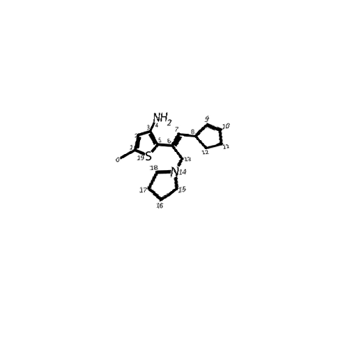 Cc1cc(N)c(/C(=C/C2CCCC2)CN2CCCC2)s1